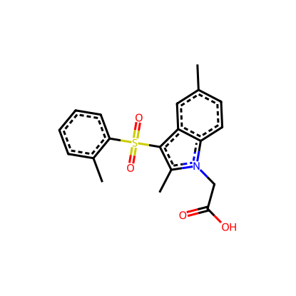 Cc1ccc2c(c1)c(S(=O)(=O)c1ccccc1C)c(C)n2CC(=O)O